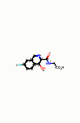 O=C(O)CNC(=O)c1ncc2cc(F)ccc2c1O